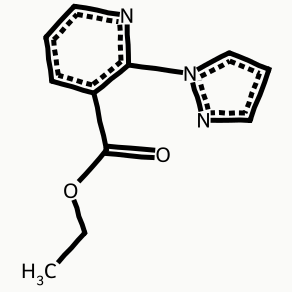 CCOC(=O)c1cccnc1-n1cccn1